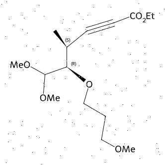 CCOC(=O)C#C[C@H](C)[C@@H](OCCCOC)C(OC)OC